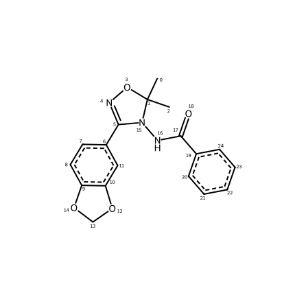 CC1(C)ON=C(c2ccc3c(c2)OCO3)N1NC(=O)c1ccccc1